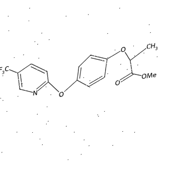 COC(=O)C(C)Oc1ccc(Oc2ccc(C(F)(F)F)cn2)cc1